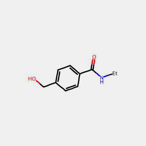 [CH2]CNC(=O)c1ccc(CO)cc1